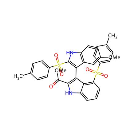 COC(=O)c1[nH]c2cccc(S(=O)(=O)c3ccc(C)cc3)c2c1-c1c(S(=O)(=O)c2ccc(C)cc2)[nH]c2ccc(OC)cc12